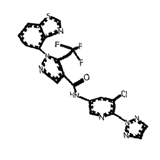 O=C(Nc1cnc(-n2nccn2)c(Cl)c1)c1cnn(-c2cccc3scnc23)c1C(F)(F)F